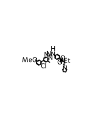 CCN(CCN1CCCC1)S(=O)(=O)c1ccc(Nc2nnc3cc(-c4cc(OC)ccc4Cl)cc(C)c3n2)cc1